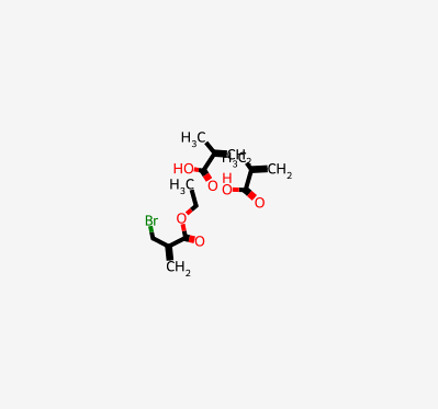 C=C(C)C(=O)O.C=C(C)C(=O)O.C=C(CBr)C(=O)OCC